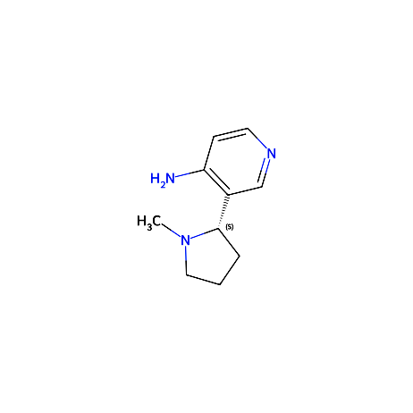 CN1CCC[C@H]1c1cnccc1N